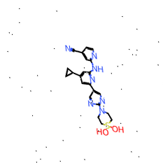 N#Cc1ccnc(Nc2cc(C3CC3)cc(-c3cnc(N4CCS(O)(O)CC4)nc3)n2)c1